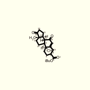 CC(C)COC(=O)C1CC[C@@]2(C)C(=CC(=O)[C@@H]3[C@@H]2CC[C@]2(C)C(=O)CC[C@@H]32)C1